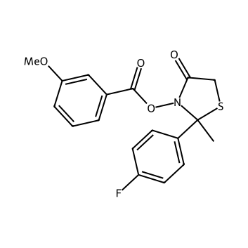 COc1cccc(C(=O)ON2C(=O)CSC2(C)c2ccc(F)cc2)c1